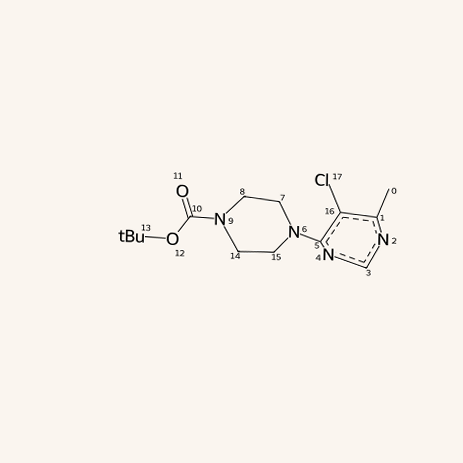 Cc1ncnc(N2CCN(C(=O)OC(C)(C)C)CC2)c1Cl